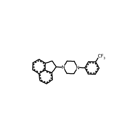 FC(F)(F)c1cccc(N2CCN(C3Cc4cccc5cccc3c45)CC2)c1